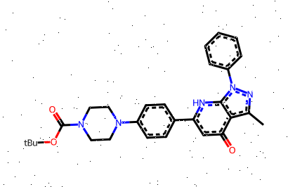 Cc1nn(-c2ccccc2)c2[nH]c(-c3ccc(N4CCN(C(=O)OC(C)(C)C)CC4)cc3)cc(=O)c12